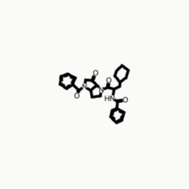 O=C(NC(CC1CCCCC1)C(=O)N1CCC2C1C(=O)CN2C(=O)c1ccccc1)c1ccccc1